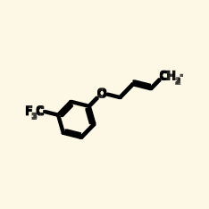 [CH2]C=CCOc1cccc(C(F)(F)F)c1